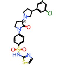 O=C1[C@H](N2CCC(c3cc(Cl)cc(Cl)c3)C2)CCN1c1ccc(S(=O)(=O)Nc2nccs2)cc1